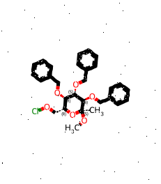 CO[C@@]1(C)O[C@H](COCl)[C@@H](OCc2ccccc2)[C@H](OCc2ccccc2)[C@H]1OCc1ccccc1